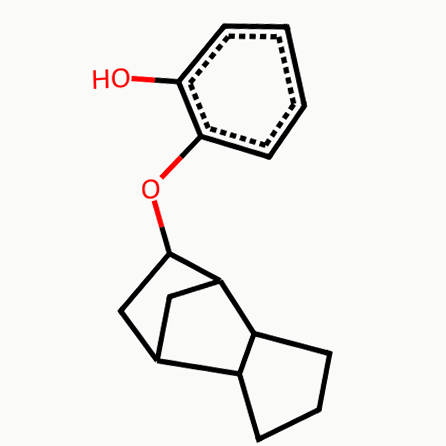 Oc1ccccc1OC1CC2CC1C1CCCC21